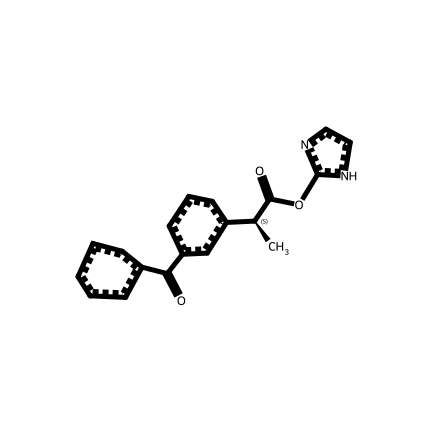 C[C@H](C(=O)Oc1ncc[nH]1)c1cccc(C(=O)c2ccccc2)c1